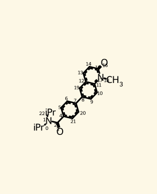 CC(C)N(C(=O)c1ccc(-c2ccc3c(ccc(=O)n3C)c2)cc1)C(C)C